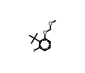 COCOc1cccc(I)c1C(C)(C)C